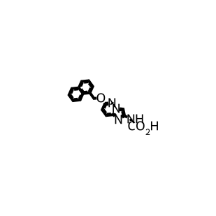 O=C(O)Nc1cn2nc(OCc3cccc4ccccc34)ccc2n1